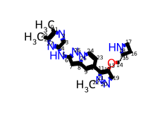 Cc1ncc(Nc2cc3cc(-c4c(OC[C@H]5CCN5)cnn4C)ccn3n2)nc1C